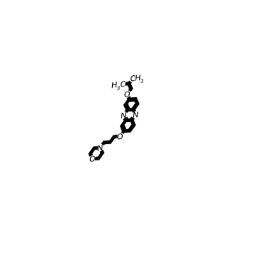 CC(C)COc1ccc2nc3ccc(OCCCN4CCOCC4)cc3nc2c1